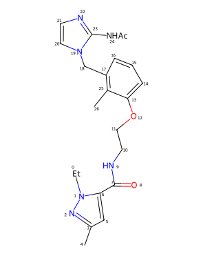 CCn1nc(C)cc1C(=O)NCCOc1cccc(Cn2ccnc2NC(C)=O)c1C